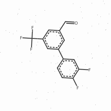 O=Cc1cc(-c2ccc(F)c(F)c2)cc(C(F)(F)F)c1